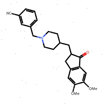 COc1cc2c(cc1OC)C(=O)C(CC1CCN(Cc3cccc(C#N)c3)CC1)C2